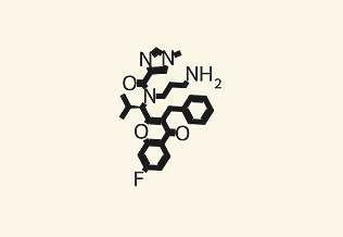 CC(C)[C@H](c1oc2cc(F)ccc2c(=O)c1Cc1ccccc1)N(CCCN)C(=O)c1cn(C)cn1